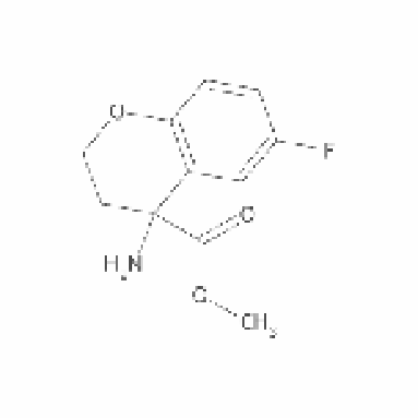 COC(=O)C1(N)CCOc2ccc(F)cc21